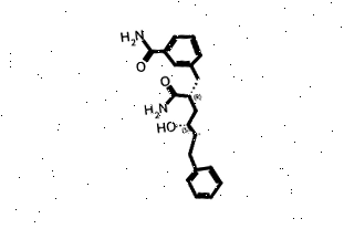 NC(=O)c1cccc(C[C@H](C[C@@H](O)[CH]Cc2ccccc2)C(N)=O)c1